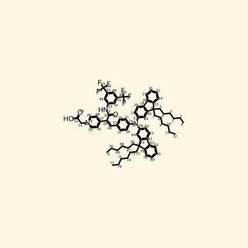 CCCCCCC1(CCCCCC)c2ccccc2-c2ccc(N(c3ccc(/C=C(\C(=O)Nc4cc(C(F)(F)F)cc(C(F)(F)F)c4)c4cc[n+](CC(=O)O)cc4)cc3)c3ccc4c(c3)C(CCCCCC)(CCCCCC)c3ccccc3-4)cc21